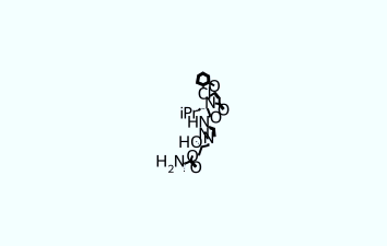 CC(C)C[C@@H](C(=O)Nc1ccn(C[C@@H](O)COC(=O)[C@H](C)N)n1)N1CC(Oc2ccccc2Cl)=CC1=O